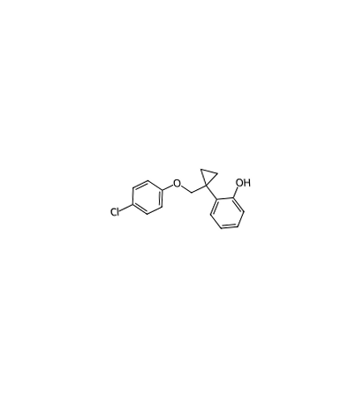 Oc1ccccc1C1(COc2ccc(Cl)cc2)CC1